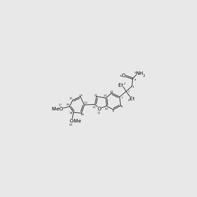 CCC(CC)(CC(N)=O)c1ccc2oc(-c3ccc(OC)c(OC)c3)cc2c1